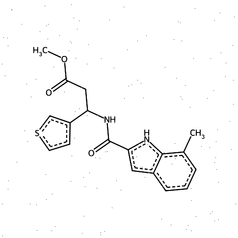 COC(=O)CC(NC(=O)c1cc2cccc(C)c2[nH]1)c1ccsc1